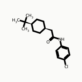 CC(C)(C)[C@H]1CC[C@@H](CC(=O)Nc2ccc(Cl)cc2)CC1